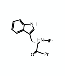 CC(C)N[C@@H](Cc1c[nH]c2ccccc12)C(=O)C(C)C